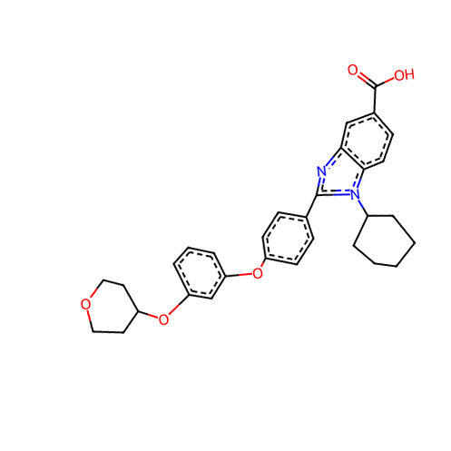 O=C(O)c1ccc2c(c1)nc(-c1ccc(Oc3cccc(OC4CCOCC4)c3)cc1)n2C1CCCCC1